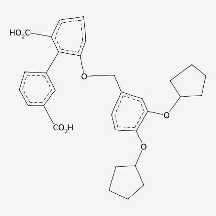 O=C(O)c1cccc(-c2c(OCc3ccc(OC4CCCC4)c(OC4CCCC4)c3)cccc2C(=O)O)c1